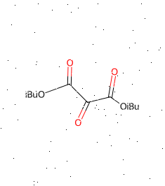 CC(C)COC(=O)C(=O)C(=O)OCC(C)C